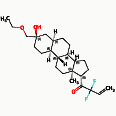 C=CC(F)(F)C(=O)[C@H]1CC[C@H]2[C@@H]3CC[C@@H]4C[C@@](O)(COCC)CC[C@@H]4[C@H]3CC[C@]12C